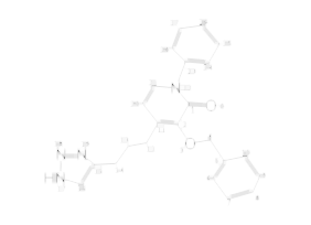 O=c1c(OCc2ccccc2)c(CCCc2c[nH]nn2)ccn1-c1ccccc1